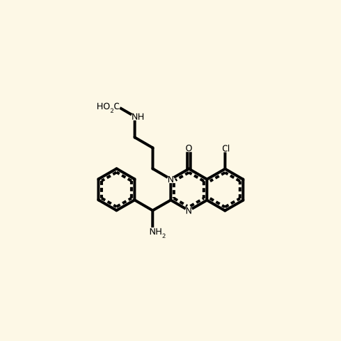 NC(c1ccccc1)c1nc2cccc(Cl)c2c(=O)n1CCCNC(=O)O